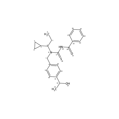 CCC(C1CC1)N(Cc1ccc(C(C)O)cc1)C(=S)NC(=O)c1ccccc1